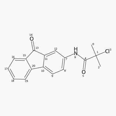 CC(C)(Cl)C(=O)Nc1ccc2c(c1)C(=O)c1ccccc1-2